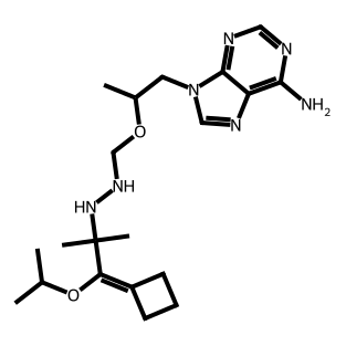 CC(C)OC(=C1CCC1)C(C)(C)NNCOC(C)Cn1cnc2c(N)ncnc21